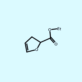 CCOC(=O)C1CC=CO1